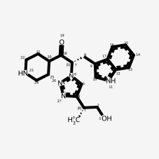 C[C@@H](CO)c1cn([C@@H](Cc2c[nH]c3ccccc23)C(=O)C2CCNCC2)nn1